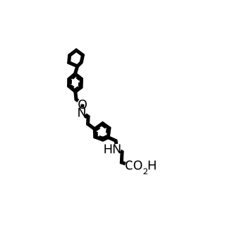 O=C(O)CCNCc1ccc(CC=NOCc2ccc(C3CCCCC3)cc2)cc1